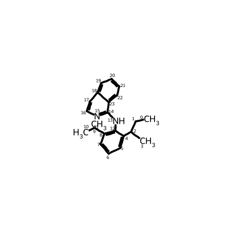 CCC(C)c1cccc(C(C)C)c1Nc1nccc2ccccc12